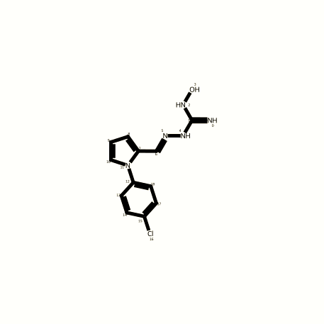 N=C(NO)N/N=C/c1cccn1-c1ccc(Cl)cc1